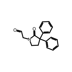 O=CCN1CCC(c2ccccc2)(c2ccccc2)C1=O